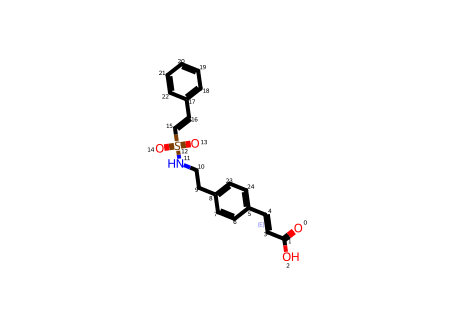 O=C(O)/C=C/c1ccc(CCNS(=O)(=O)C=Cc2ccccc2)cc1